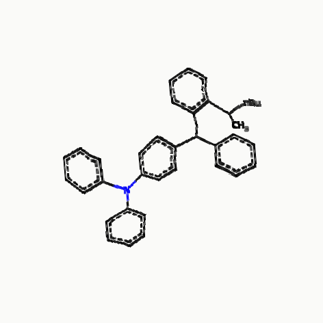 CCCCC(C)c1ccccc1C(c1ccccc1)c1ccc(N(c2ccccc2)c2ccccc2)cc1